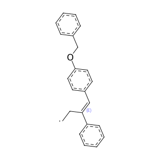 [CH2]C/C(=C\c1ccc(OCc2ccccc2)cc1)c1ccccc1